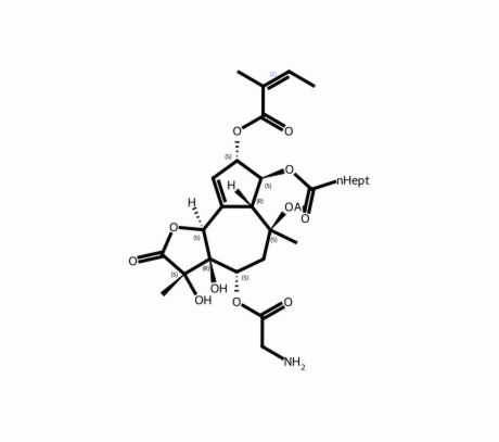 C/C=C(/C)C(=O)O[C@H]1C=C2[C@H]([C@@H]1OC(=O)CCCCCCC)[C@@](C)(OC(C)=O)C[C@H](OC(=O)CN)[C@@]1(O)[C@H]2OC(=O)[C@@]1(C)O